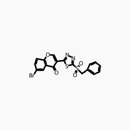 O=c1c(-c2nnc(S(=O)(=O)Cc3ccccc3)s2)coc2ccc(Br)cc12